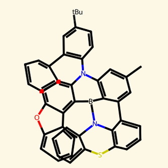 Cc1cc2c3c(c1)N(c1ccc(C(C)(C)C)cc1-c1ccccc1)c1ccc4oc5ccccc5c4c1B3N1c3ccccc3Sc3cccc-2c31